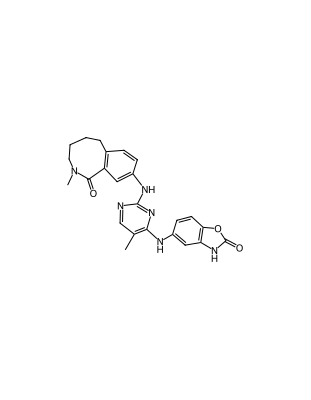 Cc1cnc(Nc2ccc3c(c2)C(=O)N(C)CCCC3)nc1Nc1ccc2oc(=O)[nH]c2c1